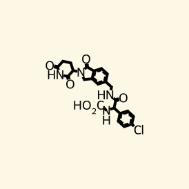 O=C(O)NC(C(=O)NCc1ccc2c(c1)CN(C1CCC(=O)NC1=O)C2=O)c1ccc(Cl)cc1